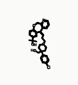 CC(C)(O)c1ccc2c(c1)C(=CCCN1CCC(CO)(c3ccc(Cl)cc3)CC1)c1cccnc1CO2